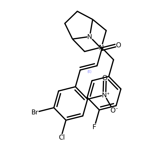 O=C(/C=C/c1cc(Br)c(Cl)cc1[N+](=O)[O-])N1C2CCC1CN(Cc1ccc(F)cc1)C2